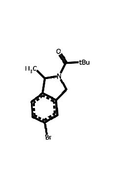 CC1c2ccc(Br)cc2CN1C(=O)C(C)(C)C